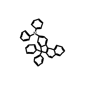 c1ccc(N(c2ccccc2)c2ccc3c(c2)C(c2ccccc2)(c2ccccc2)c2ccc4ccccc4c2-3)cc1